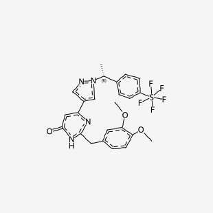 COc1ccc(Cc2nc(-c3cnn([C@H](C)c4ccc(S(F)(F)(F)(F)F)cc4)c3)cc(=O)[nH]2)cc1OC